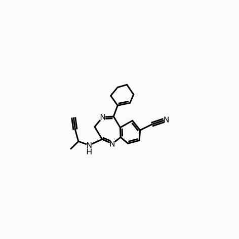 C#CC(C)NC1=Nc2ccc(C#N)cc2C(C2=CCCCC2)=NC1